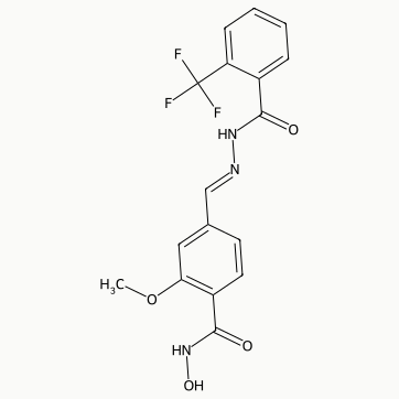 COc1cc(/C=N/NC(=O)c2ccccc2C(F)(F)F)ccc1C(=O)NO